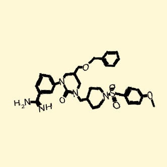 COc1ccc(S(=O)(=O)N2CCC(CN3CC(COCc4ccccc4)CN(c4cccc(C(=N)N)c4)C3=O)CC2)cc1